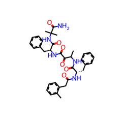 Cc1ccccc1CC(=O)N[C@@H](Cc1ccccc1)C(=O)NC(C)C(=O)C(=O)N[C@@H](Cc1ccccc1)C(=O)NC(C)(C)C(N)=O